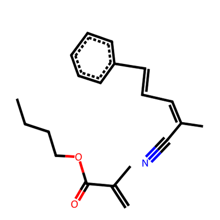 C=C(C)C(=O)OCCCC.CC(C#N)=CC=Cc1ccccc1